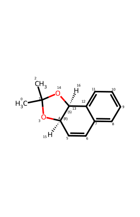 CC1(C)O[C@@H]2C=Cc3ccccc3[C@@H]2O1